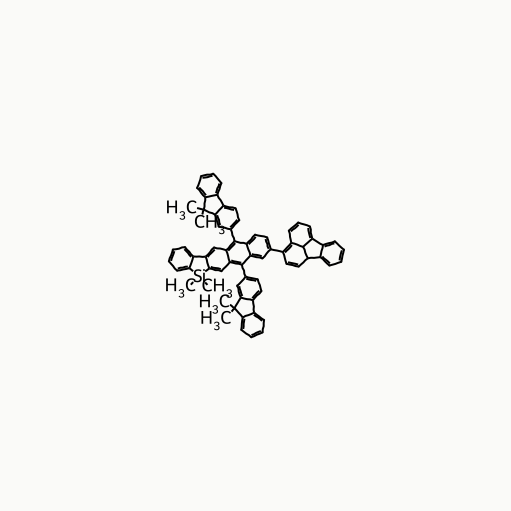 CC1(C)c2ccccc2-c2ccc(-c3c4ccc(C5=C6C=CC=C7c8ccccc8C(C=C5)C76)cc4c(-c4ccc5c(c4)C(C)(C)c4ccccc4-5)c4cc5c(cc34)-c3ccccc3[Si]5(C)C)cc21